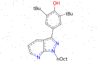 CCCCCCCCn1nc(-c2cc(C(C)(C)C)c(O)c(C(C)(C)C)c2)c2cccnc21